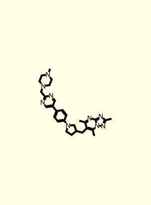 Cc1nc2nc(C)c(CC3CCN(c4ccc(-c5cnc(CN6CCN(C)CC6)nc5)cc4)C3)c(C)n2n1